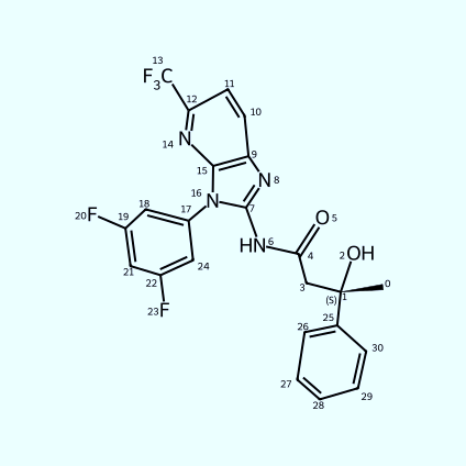 C[C@](O)(CC(=O)Nc1nc2ccc(C(F)(F)F)nc2n1-c1cc(F)cc(F)c1)c1ccccc1